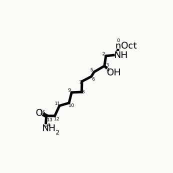 CCCCCCCCNCC(O)CCCCCCCCC(N)=O